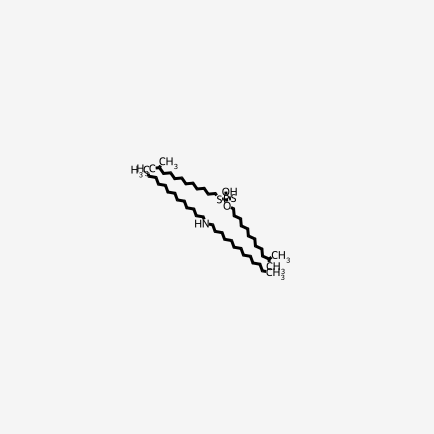 CC(C)CCCCCCCCCCOP(O)(=S)SCCCCCCCCCCC(C)C.CCCCCCCCCCCCCNCCCCCCCCCCCCC